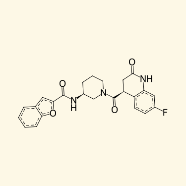 O=C1C[C@H](C(=O)N2CCC[C@H](NC(=O)c3cc4ccccc4o3)C2)c2ccc(F)cc2N1